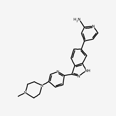 CN1CCN(c2ccc(-c3n[nH]c4cc(-c5ccnc(N)c5)ccc34)nc2)CC1